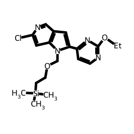 CCOc1nccc(-c2cc3cnc(Cl)cc3n2COCC[Si](C)(C)C)n1